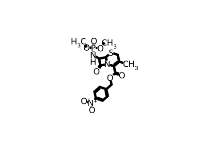 COP(=O)(NC1C(=O)N2C(C(=O)OCc3ccc([N+](=O)[O-])cc3)=C(C)CSC12)OC